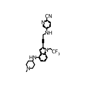 CN1CCC(Nc2cccc3c2cc(C#CCNc2ccc(C#N)nc2)n3CC(F)(F)F)CC1